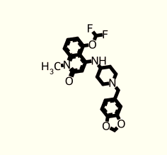 Cn1c(=O)cc(NC2CCN(Cc3ccc4c(c3)OCO4)CC2)c2c(OC(F)F)cccc21